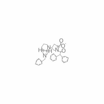 COC(=O)[C@@H]1CC(N2CCC[C@@H]3CN(Cc4ccccc4)C[C@@H]32)CN1C(=O)C(c1ccccc1)c1ccccc1